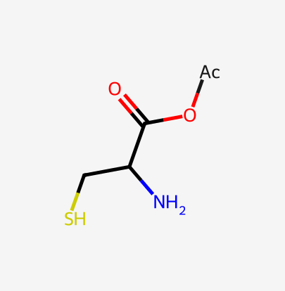 CC(=O)OC(=O)C(N)CS